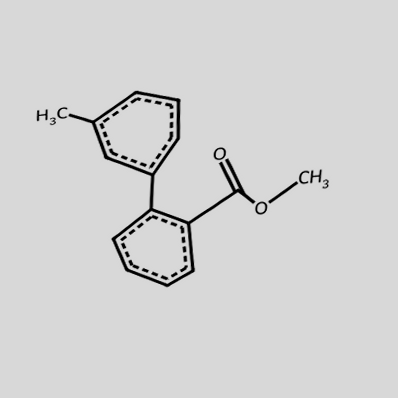 COC(=O)c1ccccc1-c1cccc(C)c1